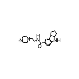 CN1CCN(CCNC(=O)c2ccc3c(c2)C2CCCC2N3)CC1